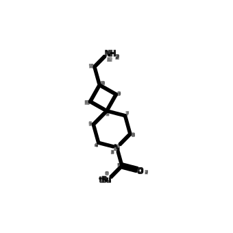 CC(C)(C)C(=O)N1CCC2(CC1)CC(CN)C2